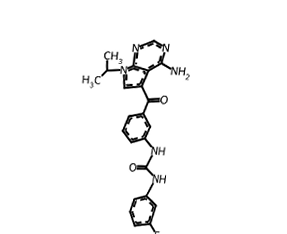 CC(C)n1cc(C(=O)c2cccc(NC(=O)Nc3cccc(F)c3)c2)c2c(N)ncnc21